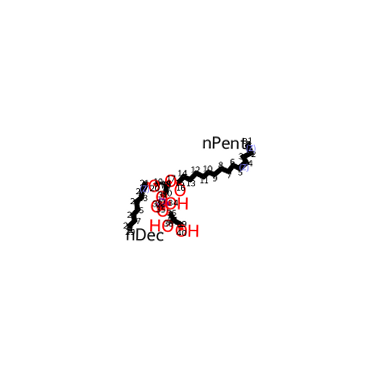 CCCCC/C=C\C/C=C\CCCCCCCCCC(=O)O[C@H](CO/C=C\CCCCCCCCCCCCCCCC)COP(=O)(O)OC[C@@H](O)CO